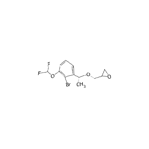 C[C@@H](OCC1CO1)c1cccc(OC(F)F)c1Br